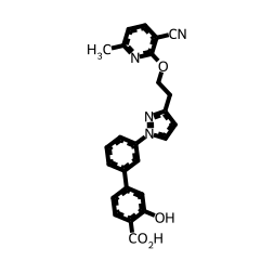 Cc1ccc(C#N)c(OCCc2ccn(-c3cccc(-c4ccc(C(=O)O)c(O)c4)c3)n2)n1